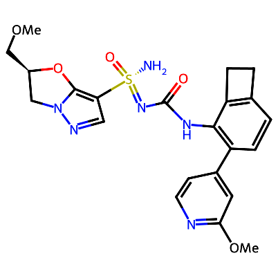 COC[C@@H]1Cn2ncc([S@@](N)(=O)=NC(=O)Nc3c(-c4ccnc(OC)c4)ccc4c3CC4)c2O1